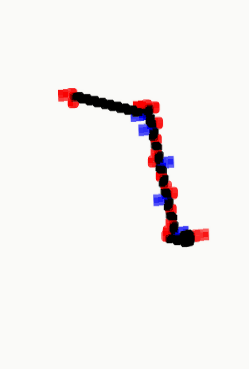 O=CC(Cc1ccc(O)cc1)NC(=O)COCCOCCNC(=O)COCCOCCNC(=O)COCCOCCNC(=O)CC[C@H](NC(=O)CCCCCCCCCCCCCCCCC(=O)O)C(=O)O